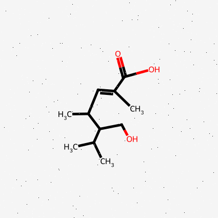 C/C(=C\C(C)C(CO)C(C)C)C(=O)O